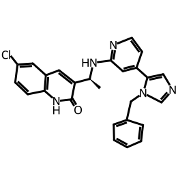 C[C@H](Nc1cc(-c2cncn2Cc2ccccc2)ccn1)c1cc2cc(Cl)ccc2[nH]c1=O